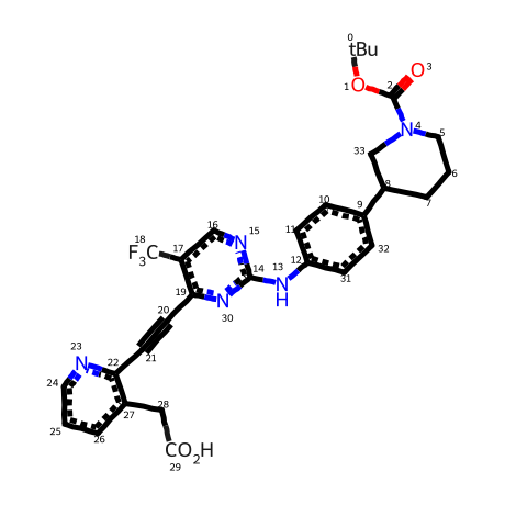 CC(C)(C)OC(=O)N1CCCC(c2ccc(Nc3ncc(C(F)(F)F)c(C#Cc4ncccc4CC(=O)O)n3)cc2)C1